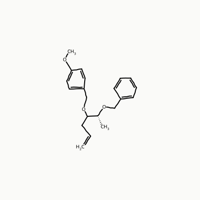 C=CCC(OCc1ccc(OC)cc1)[C@@H](C)OCc1ccccc1